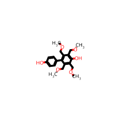 COCc1c(O)c(COC)c(COC)c(-c2ccc(O)cc2)c1COC